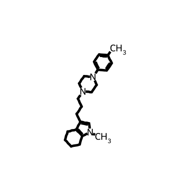 Cc1ccc(N2CCN(CCCc3cn(C)c4c3CCCC4)CC2)cc1